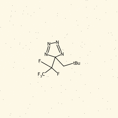 CC(C)(C)CC1(C(F)(F)C(F)(F)F)N=NN=N1